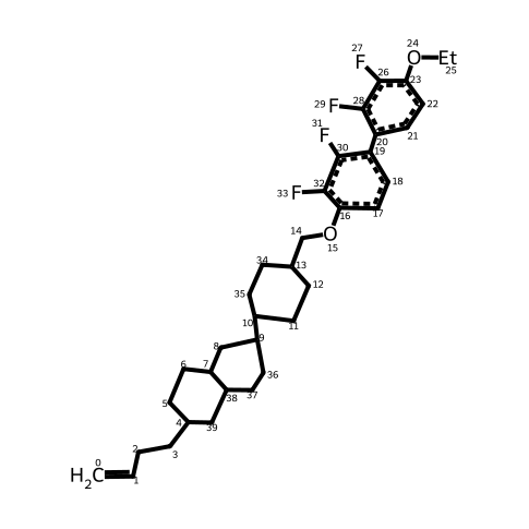 C=CCCC1CCC2CC(C3CCC(COc4ccc(-c5ccc(OCC)c(F)c5F)c(F)c4F)CC3)CCC2C1